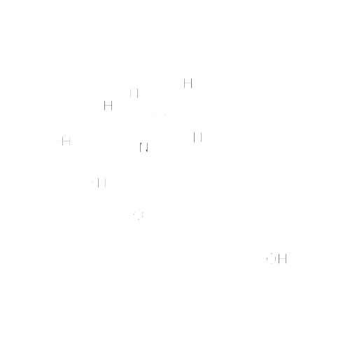 [2H]C([2H])([2H])N(C(=O)c1cccc(O)c1)C([2H])([2H])[2H]